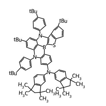 CC(C)(C)c1ccc(N2c3cc(N(c4ccc5c(c4)C(C)(C)CC5(C)C)c4ccc5c(c4)C(C)(C)CC5(C)C)ccc3B3c4sc5ccc(C(C)(C)C)cc5c4N(c4ccc(C(C)(C)C)cc4)c4cc(C(C)(C)C)cc2c43)cc1